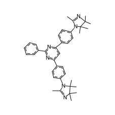 CC1=NC(C)(C)C(C)(C)N1c1ccc(-c2cc(-c3ccc(N4C(C)=NC(C)(C)C4(C)C)cc3)nc(-c3ccccc3)n2)cc1